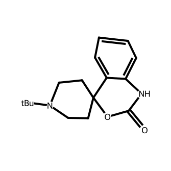 CC(C)(C)N1CCC2(CC1)OC(=O)Nc1ccccc12